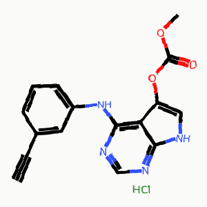 C#Cc1cccc(Nc2ncnc3[nH]cc(OC(=O)OC)c23)c1.Cl